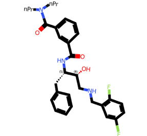 CCCN(CCC)C(=O)c1cccc(C(=O)N[C@@H](Cc2ccccc2)[C@H](O)CNCc2cc(F)ccc2F)c1